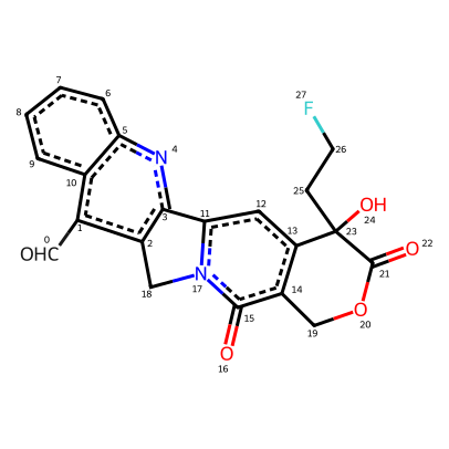 O=Cc1c2c(nc3ccccc13)-c1cc3c(c(=O)n1C2)COC(=O)C3(O)CCF